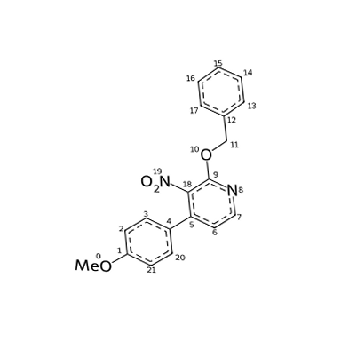 COc1ccc(-c2ccnc(OCc3ccccc3)c2[N+](=O)[O-])cc1